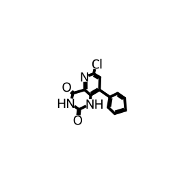 O=c1[nH]c(=O)c2nc(Cl)cc(-c3ccccc3)c2[nH]1